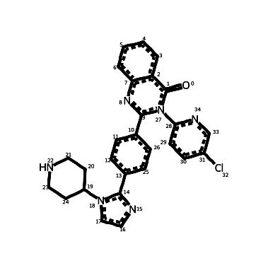 O=c1c2ccccc2nc(-c2ccc(-c3nccn3C3CCNCC3)cc2)n1-c1ccc(Cl)cn1